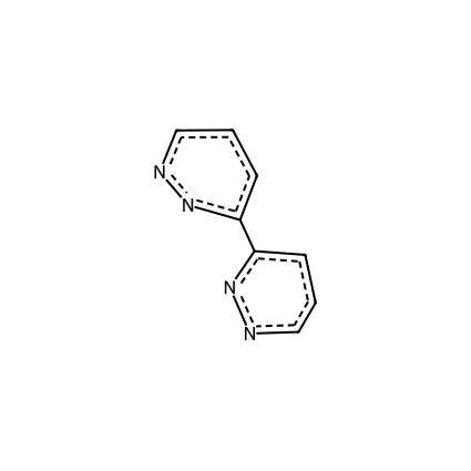 c1cnnc(-c2cccnn2)c1